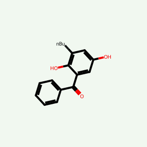 CCCCc1cc(O)cc(C(=O)c2ccccc2)c1O